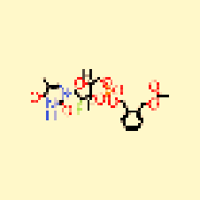 CC(=O)OCc1ccccc1COP1(=O)OC[C@@H]2O[C@H](n3cc(C)c(=O)[nH]c3=O)[C@H](F)[C@H]2O1